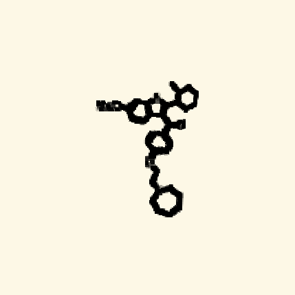 COc1ccc2c(C(=O)c3ccc(OCCN4CCCCCC4)cc3)c(C3CCCCC3C)sc2c1